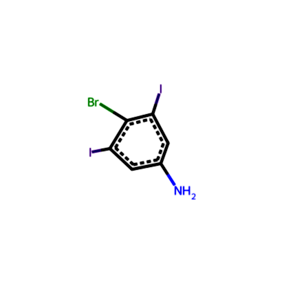 Nc1cc(I)c(Br)c(I)c1